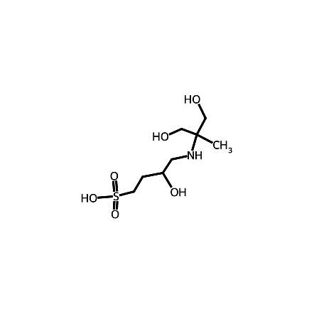 CC(CO)(CO)NCC(O)CCS(=O)(=O)O